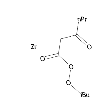 CCCC(=O)CC(=O)OOC(C)CC.[Zr]